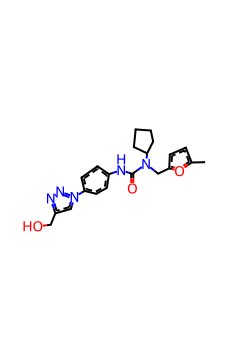 Cc1ccc(CN(C(=O)Nc2ccc(-n3cc(CO)nn3)cc2)C2CCCC2)o1